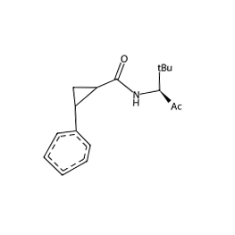 CC(=O)[C@@H](NC(=O)C1CC1c1ccccc1)C(C)(C)C